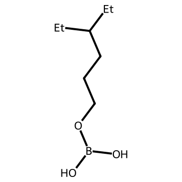 CCC(CC)CCCOB(O)O